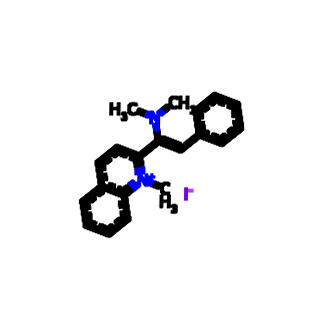 CN(C)C(=Cc1ccccc1)c1ccc2ccccc2[n+]1C.[I-]